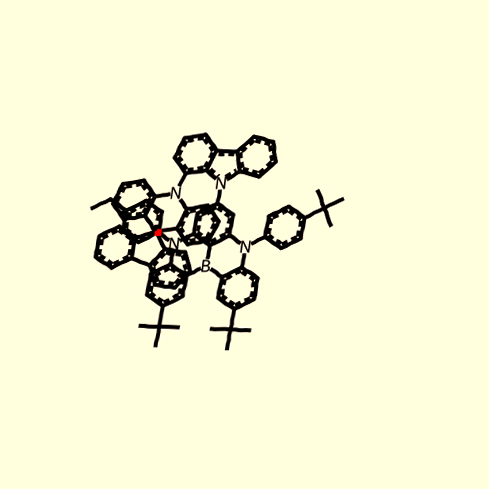 CCc1ccc(N2c3ccc(C(C)(C)C)cc3B3c4cc(C(C)(C)C)ccc4N(c4ccc(C(C)(C)C)cc4)c4cc(-n5c6ccccc6c6cccc(N7c8ccccc8C8(c9ccccc9-c9ccccc98)c8ccccc87)c65)cc2c43)cc1